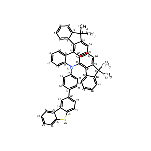 CC1(C)c2ccccc2-c2c(-c3ccccc3N(c3ccc(-c4ccc5sc6ccccc6c5c4)cc3)c3cccc4c3-c3ccccc3C4(C)C)cccc21